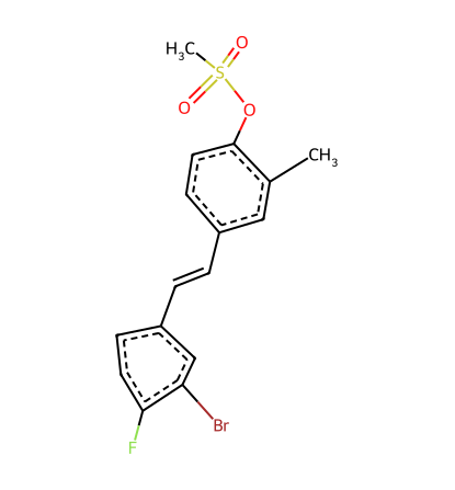 Cc1cc(C=Cc2ccc(F)c(Br)c2)ccc1OS(C)(=O)=O